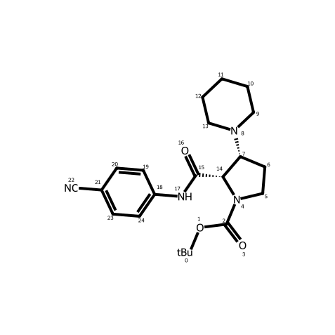 CC(C)(C)OC(=O)N1CC[C@@H](N2CCCCC2)[C@H]1C(=O)Nc1ccc(C#N)cc1